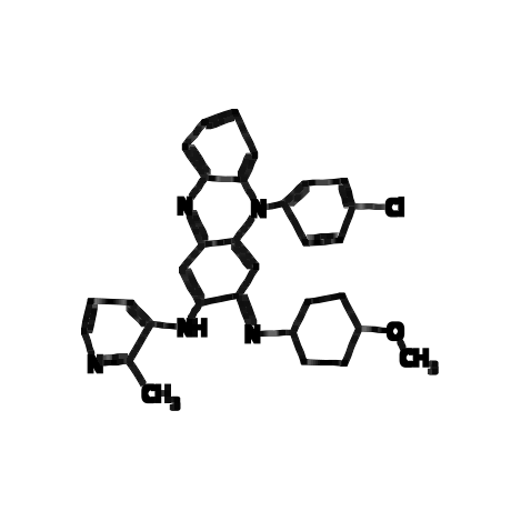 COC1CCC(/N=c2\cc3n(-c4ccc(Cl)cc4)c4ccccc4nc-3cc2Nc2cccnc2C)CC1